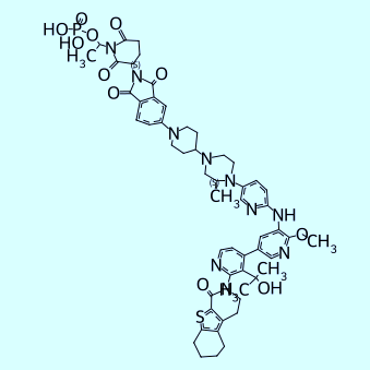 COc1ncc(-c2ccnc(N3CCc4c(sc5c4CCCC5)C3=O)c2C(C)(C)O)cc1Nc1ccc(N2CCN(C3CCN(c4ccc5c(c4)C(=O)N([C@H]4CCC(=O)N(C(C)OP(=O)(O)O)C4=O)C5=O)CC3)C[C@@H]2C)cn1